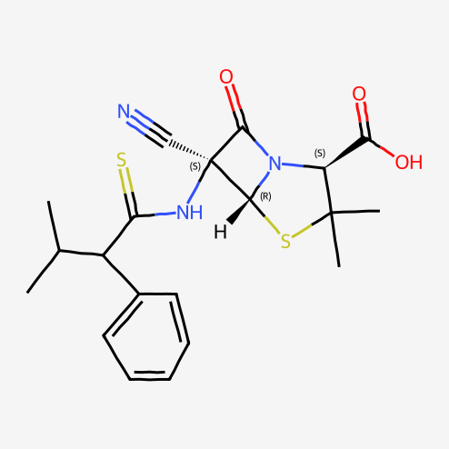 CC(C)C(C(=S)N[C@@]1(C#N)C(=O)N2[C@@H](C(=O)O)C(C)(C)S[C@@H]21)c1ccccc1